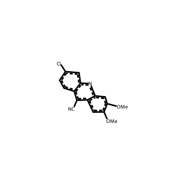 COc1cc2nc3cc(Cl)ccc3c(C#N)c2cc1OC